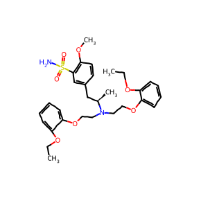 CCOc1ccccc1OCCN(CCOc1ccccc1OCC)[C@H](C)Cc1ccc(OC)c(S(N)(=O)=O)c1